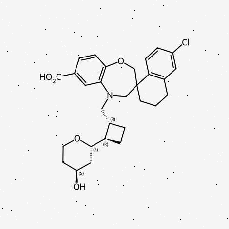 O=C(O)c1ccc2c(c1)N(C[C@@H]1CC[C@H]1[C@@H]1C[C@@H](O)CCO1)CC1(CCCc3cc(Cl)ccc31)CO2